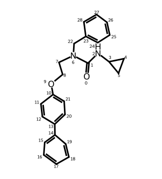 O=C(NC1CC1)N(CCOc1ccc(-c2ccccc2)cc1)Cc1ccccc1